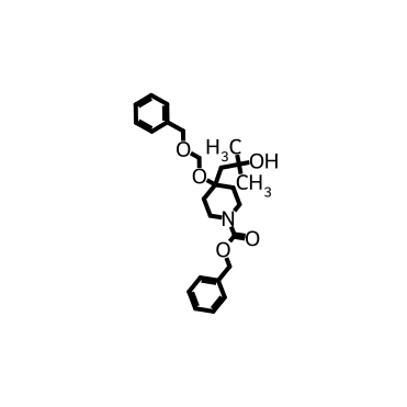 CC(C)(O)CC1(OCOCc2ccccc2)CCN(C(=O)OCc2ccccc2)CC1